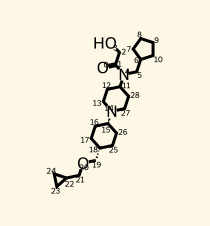 O=C(CO)N(CC1CCCC1)C1CCN([C@H]2CC[C@@H](COCC3CC3)CC2)CC1